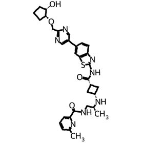 Cc1cccc(C(=O)NC[C@H](C)N[C@H]2C[C@@H](C(=O)Nc3nc4ccc(-c5cnc(CO[C@H]6CCC[C@@H]6O)nc5)cc4s3)C2)n1